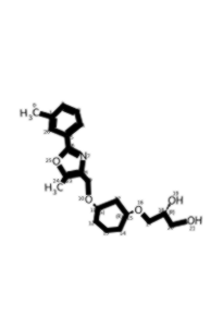 Cc1cccc(-c2nc(CO[C@H]3CCC[C@@H](OC[C@H](O)CO)C3)c(C)o2)c1